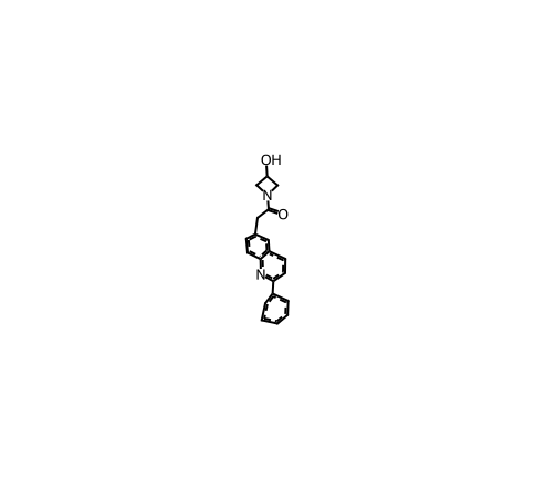 O=C(Cc1ccc2nc(-c3ccccc3)ccc2c1)N1CC(O)C1